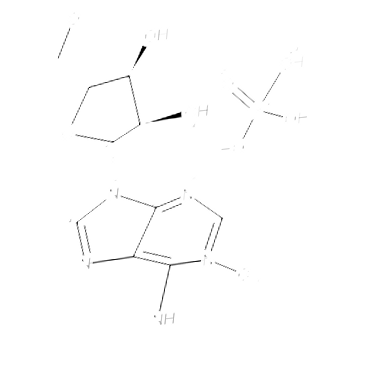 Nc1c2ncn([C@@H]3O[C@H](CO)[C@@H](O)[C@H]3O)c2nc[n+]1[O-].O=P(O)(O)O